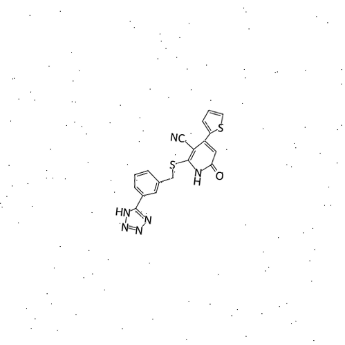 N#Cc1c(-c2cccs2)cc(=O)[nH]c1SCc1cccc(-c2nnn[nH]2)c1